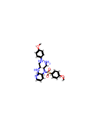 COc1ccc(NCCNc2ncccc2N(CCN)S(=O)(=O)c2ccc(OC)cc2)cc1